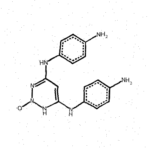 Nc1ccc(NC2=CC(Nc3ccc(N)cc3)=NN([O])N2)cc1